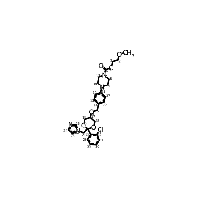 COCCOC(=O)N1CCN(c2ccc(COC3COC(Cn4ccnc4)(c4ccccc4Cl)OC3)cc2)CC1